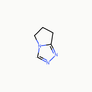 [c]1nnc2n1CCC2